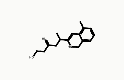 Cc1cccc2c1C=C(C(C)CC(=N)CCO)NC2